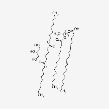 CCCCCCCCC=CCCCCCCCC(=O)O.CCCCCCCCCCCCCC(=O)OC(C)C.CCCCCCCCOC(=O)CCCCC(=O)OCCCCCCCC.OCC(O)CO